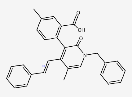 Cc1ccc(-c2c(/C=C/c3ccccc3)c(C)cn(Cc3ccccc3)c2=O)c(C(=O)O)c1